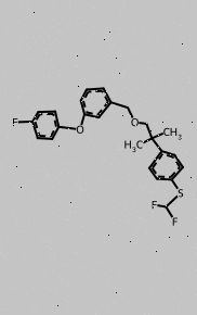 CC(C)(COCc1cccc(Oc2ccc(F)cc2)c1)c1ccc(SC(F)F)cc1